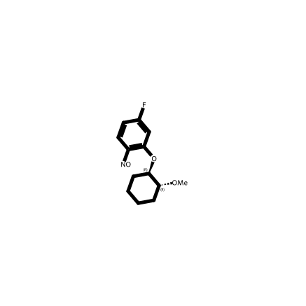 CO[C@@H]1CCCC[C@H]1Oc1cc(F)ccc1N=O